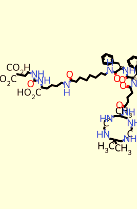 CC1(C)CNCCNCC(C)(NC(=O)CCCC(=O)N[C@H](Cc2ccccc2)C(=O)N[C@H](Cc2ccccc2)C(=O)NCCCCCCCC(=O)NCCCCC(NC(=O)NC(CCC(=O)O)C(=O)O)C(=O)O)CNCCNC1